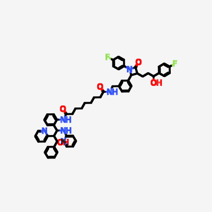 O=C(CCCCCCCC(=O)Nc1ccccc1C(Nc1ccccn1)C(c1ccccn1)C(O)c1ccccc1)NCc1cccc(C2C(CCC(O)c3ccc(F)cc3)C(=O)N2c2ccc(F)cc2)c1